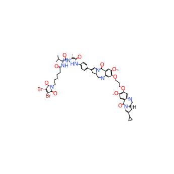 COc1cc2c(cc1OCCCOc1cc3c(cc1OC)C(=O)N1C=C(C4CC4)C[C@@H]1C=N3)N=CC1CC(c3ccc(NC(=O)[C@@H](C)NC(=O)C(NC(=O)CCCCCN4C(=O)C(Br)=C(Br)C4=O)C(C)C)cc3)=CN1C2=O